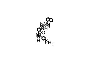 COc1ccc(-c2[nH]nc3c2C(=O)c2c(NC(=O)NNC(=O)c4cccc5ccccc45)cccc2-3)cc1